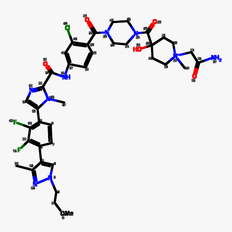 COCCn1cc(-c2ccc(-c3cnc(C(=O)Nc4ccc(C(=O)N5CCN(C(=O)C6(O)CC[N+](C)(CC(N)=O)CC6)CC5)c(Cl)c4)n3C)c(F)c2F)c(C)n1